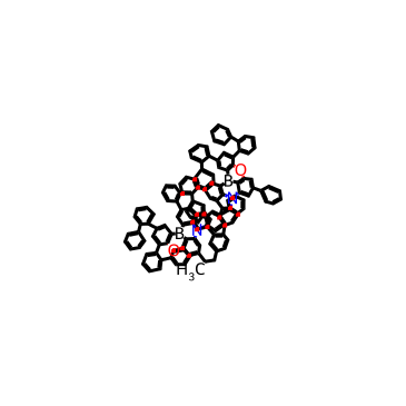 CC(Cc1ccc(-c2ccc3c(c2)c2cc(-c4ccccc4-c4ccccc4)cc4c2n3-c2cc(-c3ccccc3)cc3c2B4c2cc(-c4ccccc4-c4ccccc4)cc(-c4ccccc4-c4ccccc4)c2O3)c(-c2ccccc2)c1)c1cc2c3c(c1)-n1c4ccc(-c5ccccc5)cc4c4cc(-c5ccccc5)cc(c41)B3c1cc(-c3ccccc3-c3ccccc3)cc(-c3ccccc3-c3ccccc3)c1O2